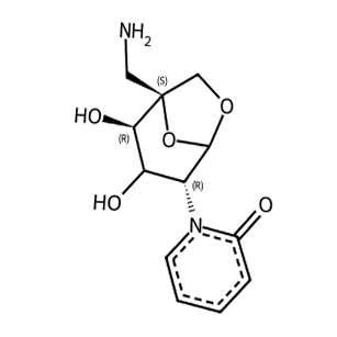 NC[C@@]12COC(O1)[C@H](n1ccccc1=O)C(O)[C@H]2O